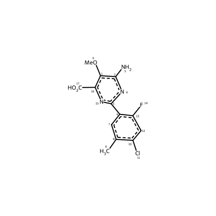 COc1c(N)nc(-c2cc(C)c(Cl)cc2F)nc1C(=O)O